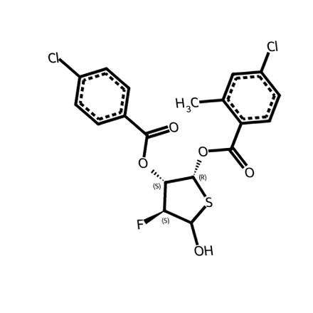 Cc1cc(Cl)ccc1C(=O)O[C@@H]1SC(O)[C@@H](F)[C@@H]1OC(=O)c1ccc(Cl)cc1